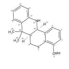 COc1cccc2c1SC[C@@H]1[C@H]2Nc2ccccc2C1(C)C